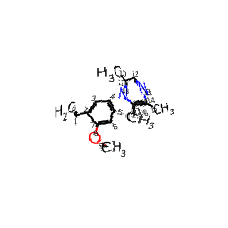 C=Cc1ccccc1OC.Cc1cnc(C)c(C)n1